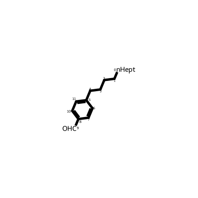 CCCCCCCCCCCc1ccc(C=O)cc1